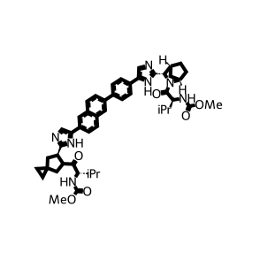 COC(=O)N[C@H](C(=O)C1CC2(CC2)C[C@H]1c1ncc(-c2ccc3cc(-c4ccc(-c5cnc([C@@H]6[C@H]7CC[C@H](C7)N6C(=O)[C@@H](NC(=O)OC)C(C)C)[nH]5)cc4)ccc3c2)[nH]1)C(C)C